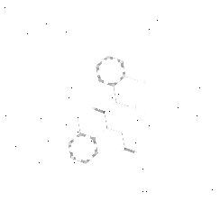 CC(C(=O)C(CC(=O)O)c1ccccc1O)c1ccccc1O